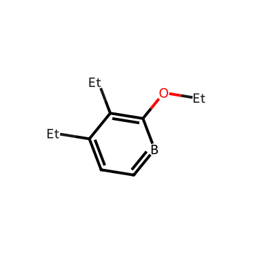 CCOc1bccc(CC)c1CC